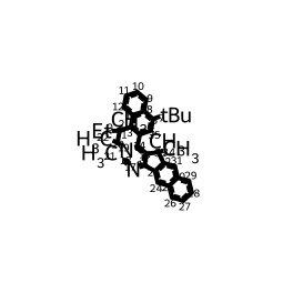 CCC1(C)c2c(cc(C(C)(C)C)c3ccccc23)-c2c3c(nc[n+]2C1(C)C)-c1cc2ccccc2cc1C3(C)C